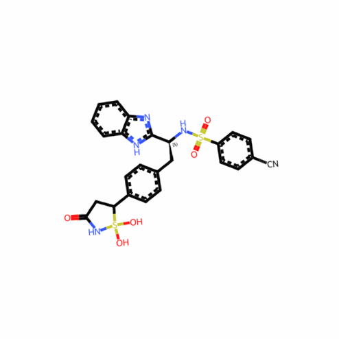 N#Cc1ccc(S(=O)(=O)N[C@@H](Cc2ccc(C3CC(=O)NS3(O)O)cc2)c2nc3ccccc3[nH]2)cc1